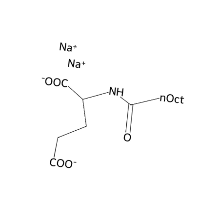 CCCCCCCCC(=O)NC(CCC(=O)[O-])C(=O)[O-].[Na+].[Na+]